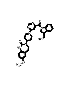 COc1ccc2c(c1)CCN(C1CCN(c3cc(C(=O)N4CC(CO)c5ccccc54)ncn3)CC1)C(=O)N2